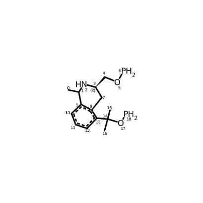 CC1N[C@@H](COP)Cc2c1cccc2C(C)(C)OP